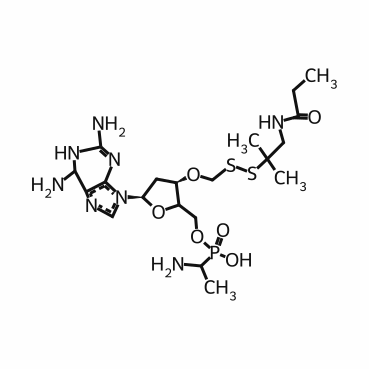 CCC(=O)NCC(C)(C)SSCO[C@@H]1C[C@H](n2cnc3c2N=C(N)NC3N)OC1COP(=O)(O)C(C)N